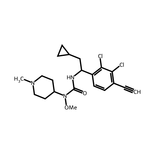 C#Cc1ccc(C(CC2CC2)NC(=O)N(OC)C2CCN(C)CC2)c(Cl)c1Cl